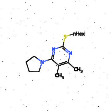 CCCCCCSc1nc(C)c(C)c(N2CCCC2)n1